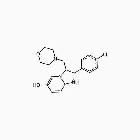 OC1=CN2C(C=C1)NC(c1ccc(Cl)cc1)C2CN1CCOCC1